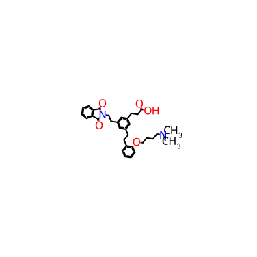 CN(C)CCCCOc1ccccc1CCc1cc(CCC(=O)O)cc(CCN2C(=O)c3ccccc3C2=O)c1